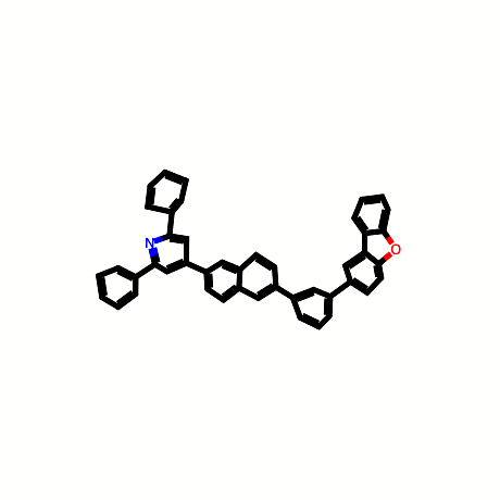 c1ccc(-c2cc(-c3ccc4cc(-c5cccc(-c6ccc7oc8ccccc8c7c6)c5)ccc4c3)cc(-c3ccccc3)n2)cc1